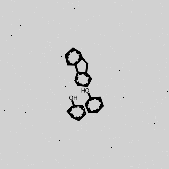 Oc1ccccc1.Oc1ccccc1.c1ccc2c(c1)Cc1ccccc1-2